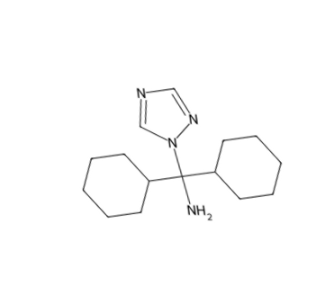 NC(C1CCCCC1)(C1CCCCC1)n1cncn1